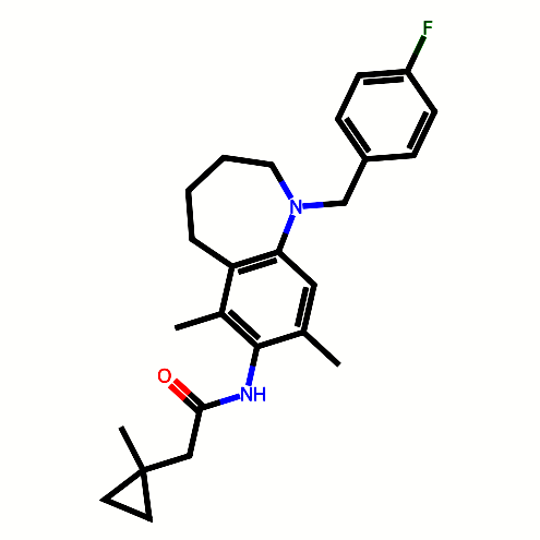 Cc1cc2c(c(C)c1NC(=O)CC1(C)CC1)CCCCN2Cc1ccc(F)cc1